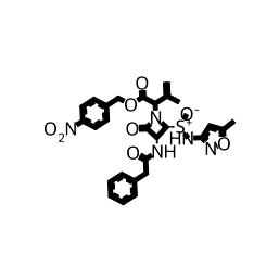 C=C(C)C(C(=O)OCc1ccc([N+](=O)[O-])cc1)N1C(=O)[C@@H](NC(=O)Cc2ccccc2)[C@H]1[S+]([O-])Nc1cc(C)on1